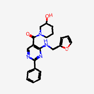 O=C(c1cnc(-c2ccccc2)nc1NCc1ccco1)N1CCCC(O)C1